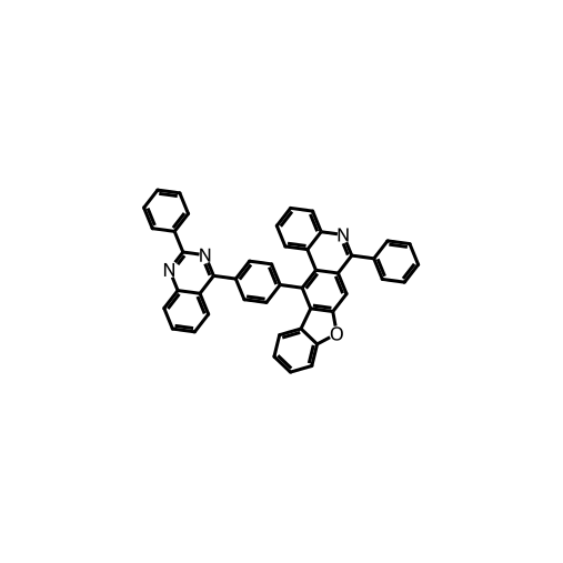 c1ccc(-c2nc(-c3ccc(-c4c5c(cc6c(-c7ccccc7)nc7ccccc7c46)oc4ccccc45)cc3)c3ccccc3n2)cc1